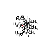 C[SiH2]c1ccc(-c2cc(C(C)(C)C)ccc2N2c3cc4c5cc3B3c6c2cc(C)cc6N(c2ccc(C(C)(C)C)cc2)c2oc6c(c23)C(C)(CCC6(C)C)CC5(C)CCC4(C)C)cc1